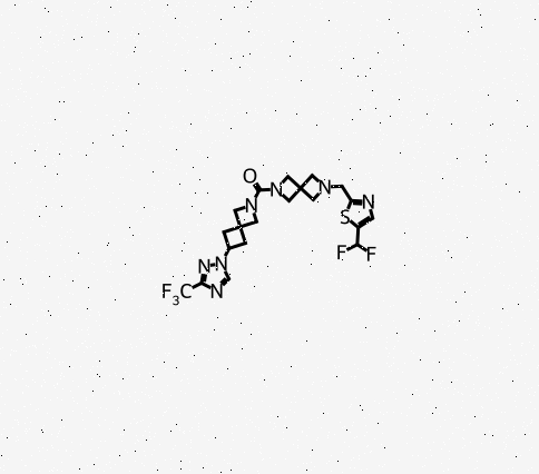 O=C(N1CC2(CC(n3cnc(C(F)(F)F)n3)C2)C1)N1CC2(CN(Cc3ncc(C(F)F)s3)C2)C1